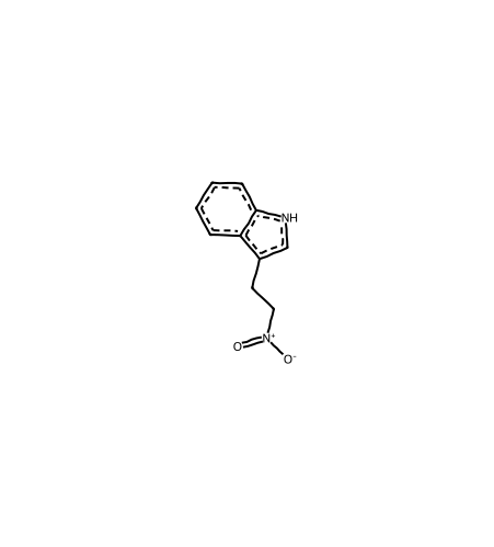 O=[N+]([O-])CCc1c[nH]c2ccccc12